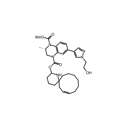 COC(=O)N1c2ccc(-c3cnn(CCO)c3)cc2N(C(=O)OC2CCCC3(C/C=C\CCCCCC3)N2)C[C@@H]1C